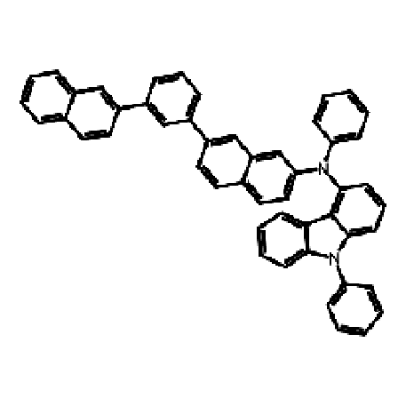 c1ccc(N(c2ccc3ccc(-c4cccc(-c5ccc6ccccc6c5)c4)cc3c2)c2cccc3c2c2ccccc2n3-c2ccccc2)cc1